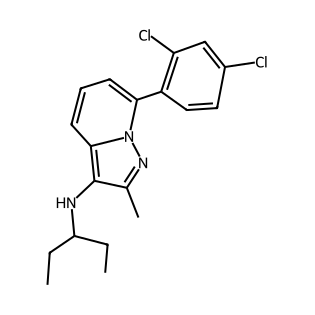 CCC(CC)Nc1c(C)nn2c(-c3ccc(Cl)cc3Cl)cccc12